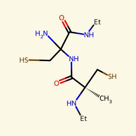 CCNC(=O)C(N)(CS)NC(=O)[C@@](C)(CS)NCC